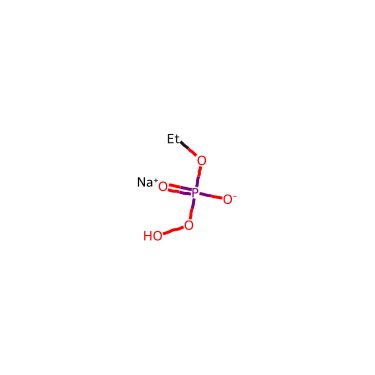 CCOP(=O)([O-])OO.[Na+]